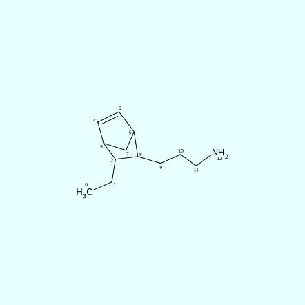 CCC1C2C=CC(C2)C1CCCN